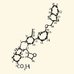 O=C(O)c1ccc2nc(Cc3ccc(-c4cccc(OCc5nc6ccccc6s5)n4)c(F)c3)n(CC3CCO3)c2c1